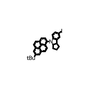 CC(C)(C)c1cc2ccc3ccc(N4c5ccc(I)cc5C5CCCC54)c4ccc(c1)c2c34